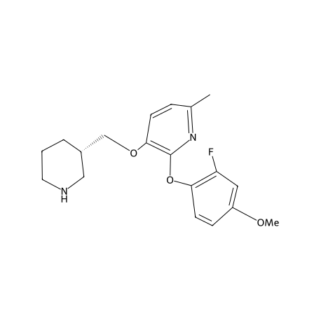 COc1ccc(Oc2nc(C)ccc2OC[C@H]2CCCNC2)c(F)c1